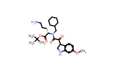 COc1ccc2c(c1)NCC2C(=O)C(=O)N(CC1CCCCC1)[C@@H](CCCN)C(=O)OC(C)(C)C